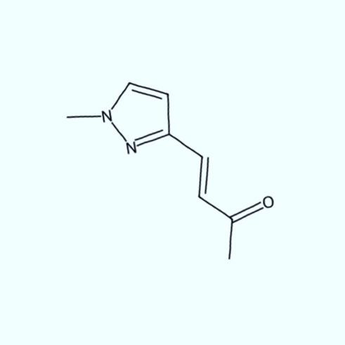 CC(=O)/C=C/c1ccn(C)n1